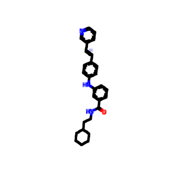 O=C(NCCC1CCCCC1)c1cccc(Nc2ccc(/C=C/c3cccnc3)cc2)c1